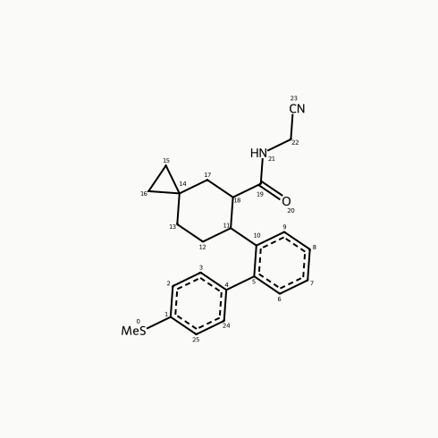 CSc1ccc(-c2ccccc2C2CCC3(CC3)CC2C(=O)NCC#N)cc1